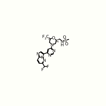 CS(=O)(=O)NC[C@H]1CN(c2cc(-c3cnc4ccc(C(F)F)nn34)ncn2)C[C@@H](C(F)(F)F)O1